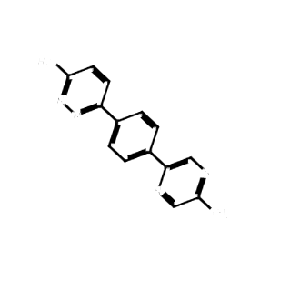 Cc1cnc(-c2ccc(-c3ccc(C)nn3)cc2)cn1